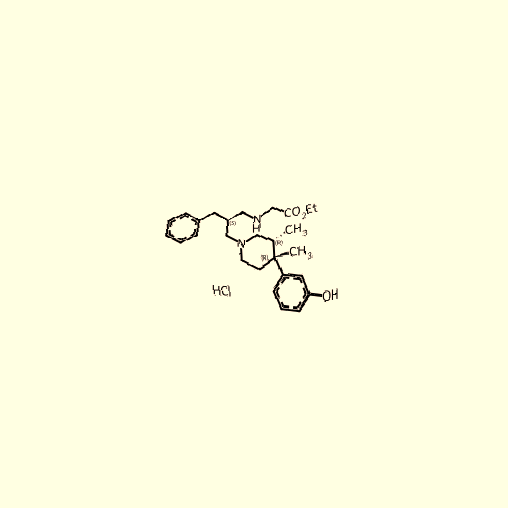 CCOC(=O)CNC[C@H](Cc1ccccc1)CN1CC[C@@](C)(c2cccc(O)c2)[C@@H](C)C1.Cl